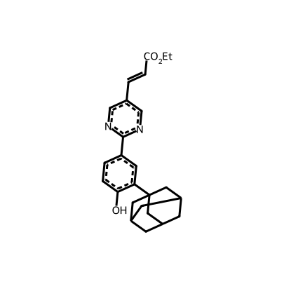 CCOC(=O)C=Cc1cnc(-c2ccc(O)c(C34CC5CC(CC(C5)C3)C4)c2)nc1